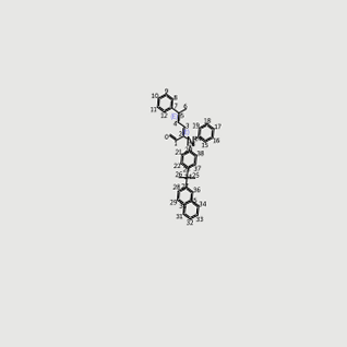 C=C/C(=C\C=C(/C)c1ccccc1)N(c1ccccc1)c1ccc(C(C)(C)c2ccc3ccccc3c2)cc1